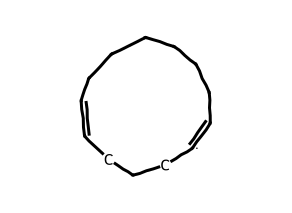 [C]1=CCCCCCCC=CCCC1